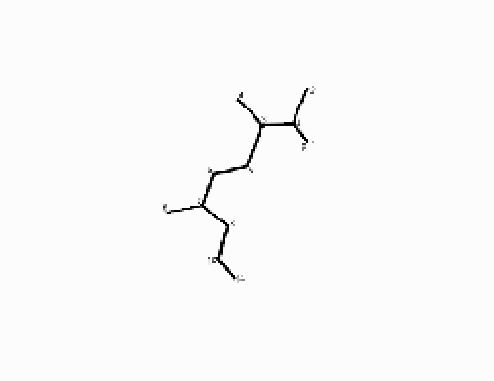 [CH2]C(C)C(C)CCC(C)CCC